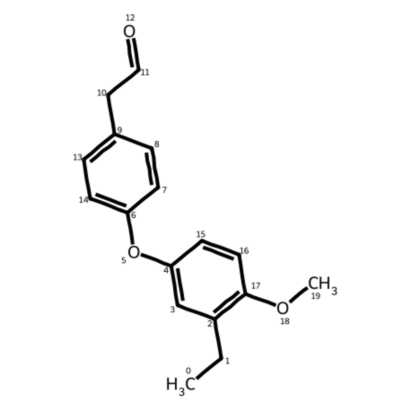 CCc1cc(Oc2ccc(CC=O)cc2)ccc1OC